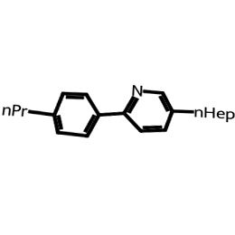 CCCCCCCc1ccc(-c2ccc(CCC)cc2)nc1